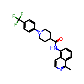 Cc1nccc2c(NC(=O)C3CCN(c4ccc(C(F)(F)F)cc4)CC3)cccc12